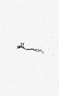 CCCCCCCCCCCCCCC=CNCCN1C=NCC1